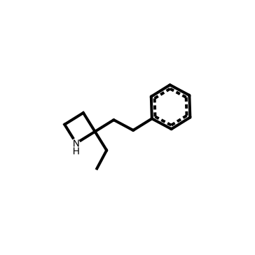 CCC1(CCc2ccccc2)CCN1